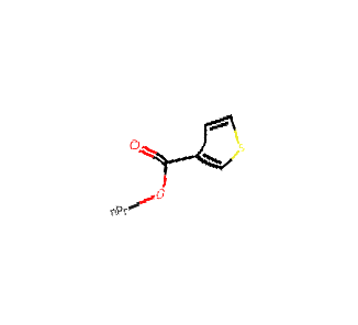 CCCOC(=O)c1[c]scc1